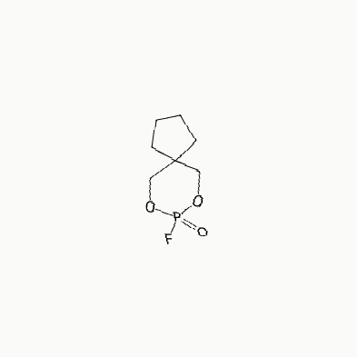 O=P1(F)OCC2(CCCC2)CO1